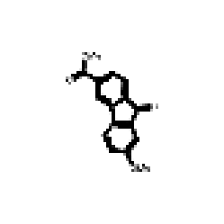 COC(=O)c1ccc2c(c1)-c1ccc(OC)cc1C2=O